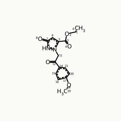 CCOC(=O)c1cc(=O)[nH]n1CC(=O)c1ccc(OC)cc1